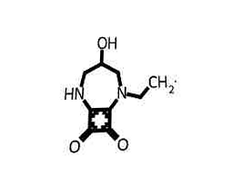 [CH2]CN1CC(O)CNc2c1c(=O)c2=O